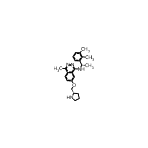 Cc1cccc([C@@H](C)Nc2nnc(C)c3ccc(OC[C@H]4CCCN4)cc23)c1C